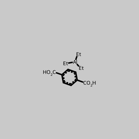 C[CH2][Al]([CH2]C)[CH2]C.O=C(O)c1ccc(C(=O)O)cc1